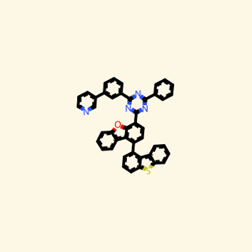 c1ccc(-c2nc(-c3cccc(-c4cccnc4)c3)nc(-c3ccc(-c4cccc5sc6ccccc6c45)c4c3oc3ccccc34)n2)cc1